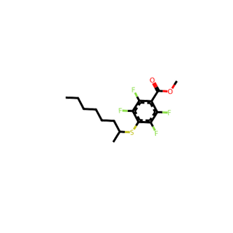 CCCCCCC(C)Sc1c(F)c(F)c(C(=O)OC)c(F)c1F